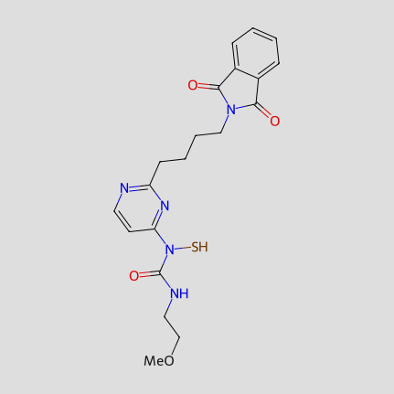 COCCNC(=O)N(S)c1ccnc(CCCCN2C(=O)c3ccccc3C2=O)n1